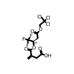 C=C(CC(=O)O)C(=O)O[C@H](CC(=O)OCC(Cl)(Cl)Cl)C(F)(F)F